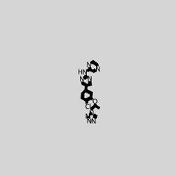 CC(Cn1cnnn1)Oc1cc(-c2cnc(Nc3cnccn3)nc2)ccc1Cl